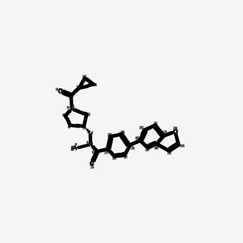 CC(C)N(C[C@@H]1CCN(C(=O)C2CC2)C1)C(=O)c1ccc(-c2ccc3occc3c2)cc1